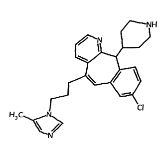 Cc1cncn1CCCC1=Cc2cc(Cl)ccc2C(C2CCNCC2)c2ncccc21